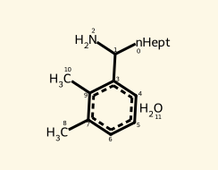 CCCCCCCC(N)c1cccc(C)c1C.O